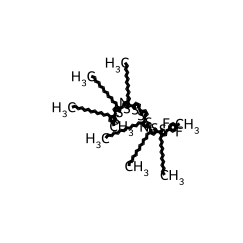 CCCCCCCCCCCCc1cc(C)sc1-c1cc(CCCCCCCCCCCC)c(-c2nc(CCCCCCCCCCCC)c(-c3ccc(-c4ccc(-c5sc(-c6sc(-c7sc(-c8cc(F)c(C)cc8F)cc7CCCCCCCCCCCC)cc6CCCCCCCCCCCC)nc5CCCCCCCCCCCC)s4)s3)s2)s1